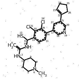 C=C(NC1CCN(C)CC1)NC(S)c1ccc(-c2cncc(C3=CCCC3)c2)c(Cl)c1Cl